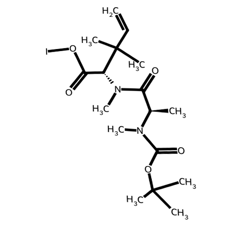 C=CC(C)(C)[C@@H](C(=O)OI)N(C)C(=O)[C@@H](C)N(C)C(=O)OC(C)(C)C